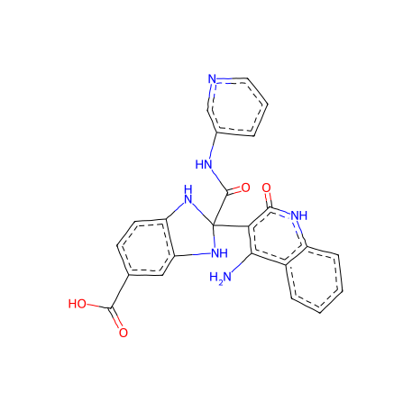 Nc1c(C2(C(=O)Nc3cccnc3)Nc3ccc(C(=O)O)cc3N2)c(=O)[nH]c2ccccc12